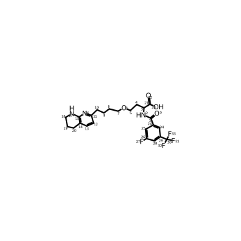 O=C(NC(CCOCCCCc1ccc2c(n1)NCCC2)C(=O)O)c1cc(F)cc(C(F)(F)F)c1